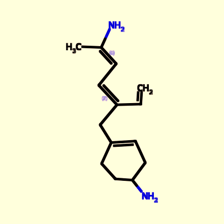 C=C/C(=C\C=C(/C)N)CC1=CCC(N)CC1